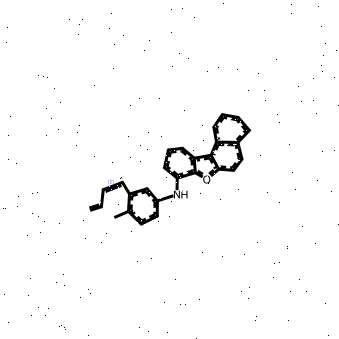 C=C/C=C\c1cc(Nc2cccc3c2oc2ccc4ccccc4c23)ccc1C